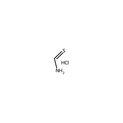 Cl.NC=S